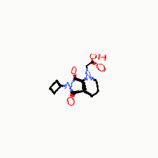 O=C(O)CN1CCCC2=C1C(=O)N(C1CCC1)C2=O